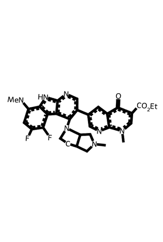 CCOC(=O)c1cn(C)c2ncc(-c3cnc4[nH]c5c(NC)cc(F)c(F)c5c4c3N3CCC4CN(C)CC43)cc2c1=O